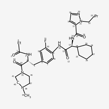 CCC(=O)N[C@H](Cc1ccc(NC(=O)[C@@H](NC(=O)c2ccnn2CC(C)C)C2CCCCC2)c(F)c1)C(=O)N1CCN(C)CC1